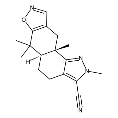 Cn1nc2c(c1C#N)CC[C@H]1C(C)(C)c3oncc3C[C@]21C